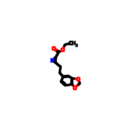 CCOC(=O)C1N=C1CCc1ccc2c(c1)OCO2